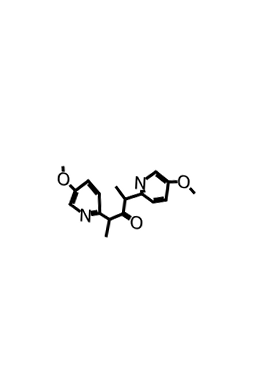 COc1ccc(C(C)C(=O)C(C)c2ccc(OC)cn2)nc1